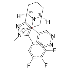 Cn1nc2c(c1-c1cc(F)c(F)c(F)c1)C[C@@H]1CCC[C@H]2N1C(=O)c1ccnnc1